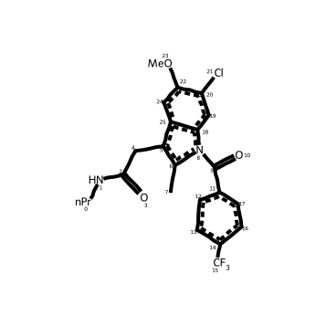 CCCNC(=O)Cc1c(C)n(C(=O)c2ccc(C(F)(F)F)cc2)c2cc(Cl)c(OC)cc12